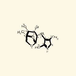 CC1=C(N[C@@H]2C3OC[C@](C)(O3)[C@H](O)[C@@H]2O)C(O)=NC1